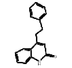 O=c1cc(CCc2ccccc2)c2ccccc2[nH]1